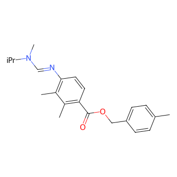 Cc1ccc(COC(=O)c2ccc(/N=C/N(C)C(C)C)c(C)c2C)cc1